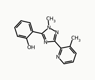 Cc1cccnc1-c1nc(-c2ccccc2O)n(C)n1